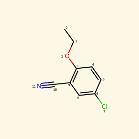 CCOc1ccc(Cl)cc1C#N